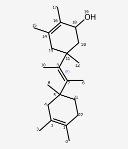 CC1=C(C)CC(C)(/C(C)=C(\C)C2(C)CC(C)=C(C)C(O)C2)CC1